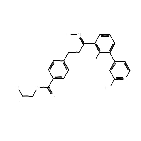 Cc1cc(-c2cccc(/C(CCc3ccc(C(=O)NC[C@H](C)O)cc3)=N/O)c2C)ccn1